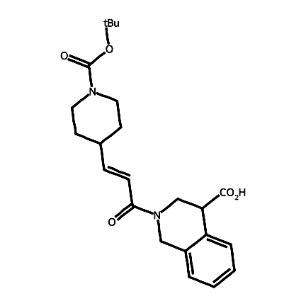 CC(C)(C)OC(=O)N1CCC(/C=C/C(=O)N2Cc3ccccc3C(C(=O)O)C2)CC1